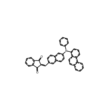 O=C1C(=Cc2ccc3cc(N(c4ccccc4)c4cccc5c4ccc4ccccc45)ccc3c2)C(=O)c2ccccc21